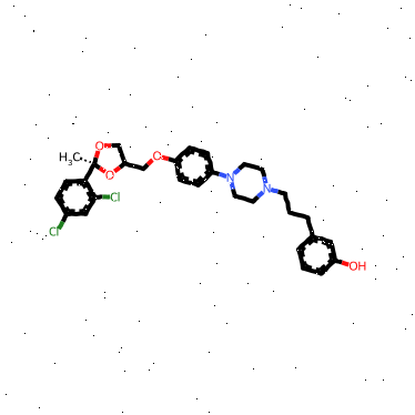 C[C@]1(c2ccc(Cl)cc2Cl)OCC(COc2ccc(N3CCN(CCCc4cccc(O)c4)CC3)cc2)O1